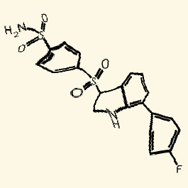 NS(=O)(=O)c1ccc(S(=O)(=O)C2CNc3c(-c4ccc(F)cc4)cccc32)cc1